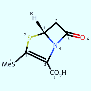 CSC1=C(C(=O)O)N2C(=O)C[C@H]2S1